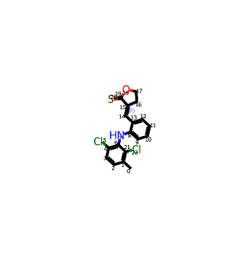 Cc1ccc(Cl)c(Nc2ccccc2/C=C2\CCOC2=S)c1Cl